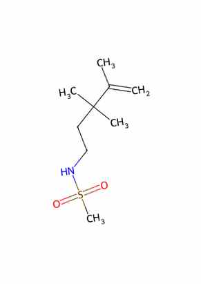 C=C(C)C(C)(C)CCNS(C)(=O)=O